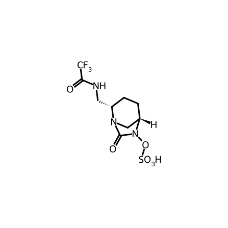 O=C1N2C[C@H](CC[C@H]2CNC(=O)C(F)(F)F)N1OS(=O)(=O)O